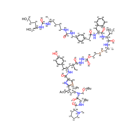 CCCCOCN(C(=O)C(NC(=O)[C@H]1CCCCN1C)[C@@H](C)CC)[C@H](C[C@@H](OC(C)=O)c1nc(C(=O)N[C@@H](Cc2ccc(O)cc2)C[C@H](C)C(=O)NNC(=O)OCCSSC[C@@H](C)NC(=O)[C@H](CC(=O)O)NC(=O)[C@H](Cc2ccccc2)NC(=O)Cc2ccc(CNC(=O)NCCCC[C@@H](C)NC(=O)N[C@@H](CCC(=O)O)C(=O)O)cc2)cs1)C(C)C